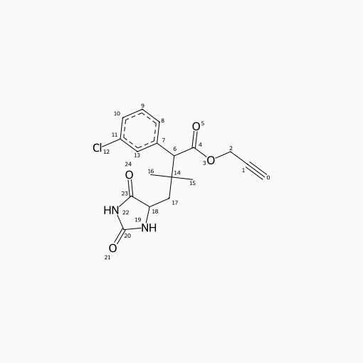 C#CCOC(=O)C(c1cccc(Cl)c1)C(C)(C)CC1NC(=O)NC1=O